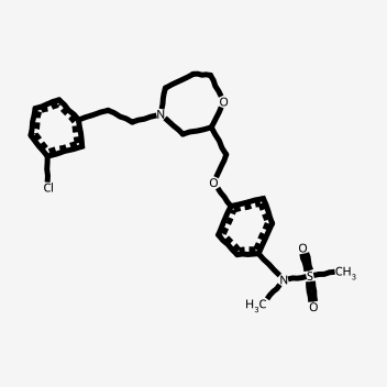 CN(c1ccc(OCC2CN(CCc3cccc(Cl)c3)CCCO2)cc1)S(C)(=O)=O